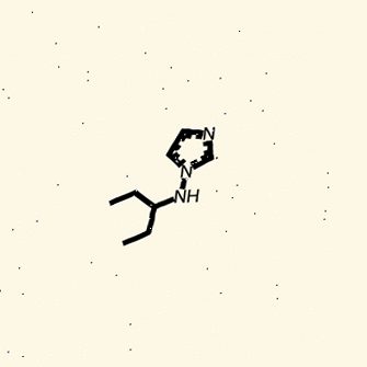 CCC(CC)Nn1[c]ncc1